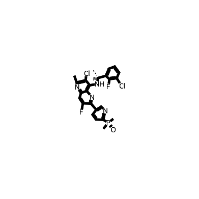 Cc1nc2cc(F)c(-c3ccc(P(C)(C)=O)nc3)nc2c(N[C@H](C)c2cccc(Cl)c2F)c1Cl